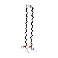 CCC=CCC=CCC=CCCCCCCCCCC(N)=O.CCC=CCC=CCC=CCCCCCCCCCC(N)=O